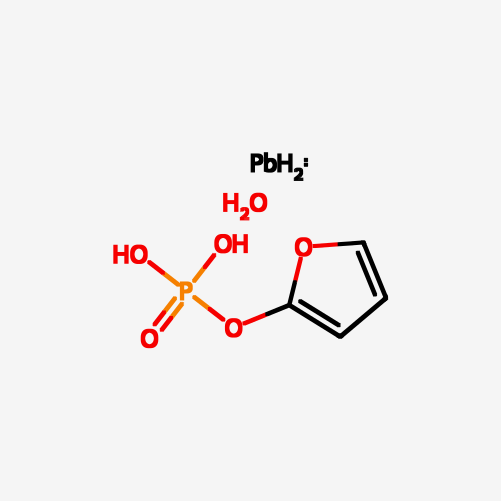 O.O=P(O)(O)Oc1ccco1.[PbH2]